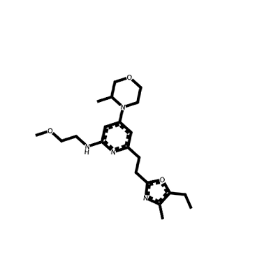 CCc1oc(CCc2cc(N3CCOCC3C)cc(NCCOC)n2)nc1C